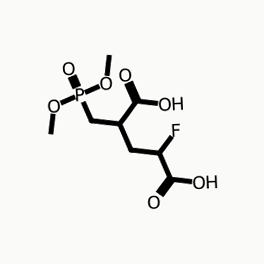 COP(=O)(CC(CC(F)C(=O)O)C(=O)O)OC